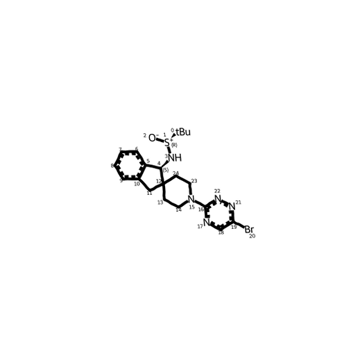 CC(C)(C)[S@+]([O-])N[C@@H]1c2ccccc2CC12CCN(c1ncc(Br)nn1)CC2